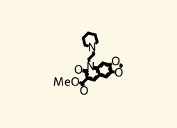 COC(=O)c1cc2cc3c(cc2n(CCN2CCCCC2)c1=O)OCO3